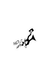 CC(C)CC(C(=O)O)n1nc(CCN2CCC2)c(C2CC2)cc1=O